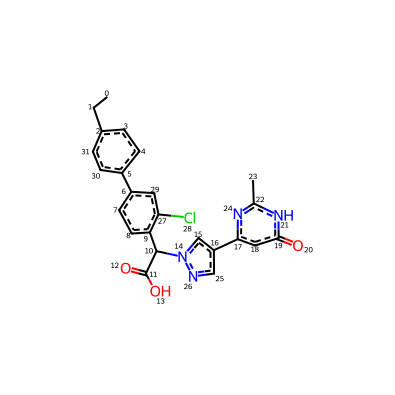 CCc1ccc(-c2ccc(C(C(=O)O)n3cc(-c4cc(=O)[nH]c(C)n4)cn3)c(Cl)c2)cc1